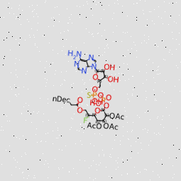 CCCCCCCCCCCC(=O)OC[C@H](F)[C@H]1O[C@@H](OP(=O)(O)OP(O)(=S)OC[C@H]2O[C@@H](n3cnc4c(N)ncnc43)[C@H](O)[C@@H]2O)[C@@H](OC(C)=O)[C@@H](OC(C)=O)[C@@H]1OC(C)=O